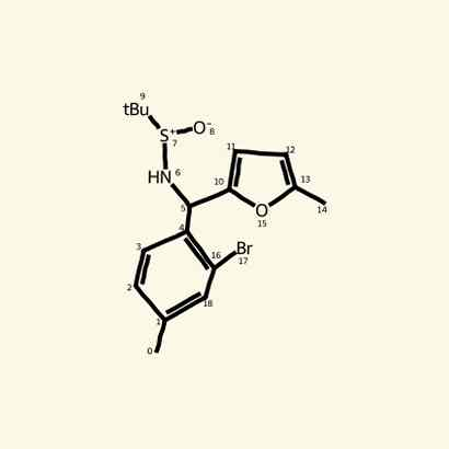 Cc1ccc(C(N[S+]([O-])C(C)(C)C)c2ccc(C)o2)c(Br)c1